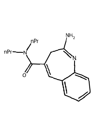 CCCN(CCC)C(=O)C1=Cc2ccccc2N=C(N)C1